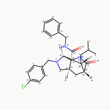 CC(C)C[C@H]1[C@@H]2N(Cc3ccc(Cl)cc3)C[C@@H]3C[C@H]1C(=O)N[C@@]32C(=O)NCc1ccccc1